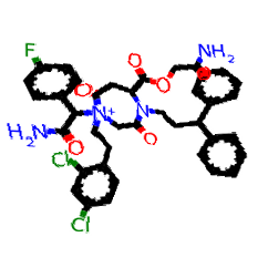 NC(=O)COC(=O)C1CC(=O)[N+](CCc2ccc(Cl)cc2Cl)(C(C(N)=O)c2ccc(F)cc2)CC(=O)N1CCC(c1ccccc1)c1ccccc1